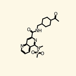 CC(=O)C1CCC(CNC(=O)c2cc3ncccc3c(N(C)S(C)(=O)=O)n2)CC1